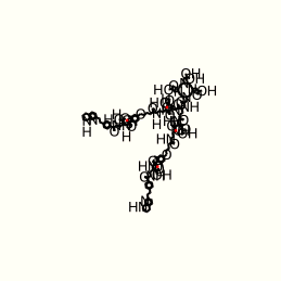 Cc1cc(OCCCC(=O)NCCNC(=O)C(CS(=O)(=O)O)NC(=O)CCC(NC(=O)CN2CCN(CC(=O)O)CCN(CC(O)O)CCN(CC(=O)O)CC2)C(=O)NC(CS(=O)(=O)O)C(=O)NCCNC(=O)CCCOc2cc(C)c(S(=O)(=O)NC(CNC(=O)c3ccc(CCc4ccc5c(n4)NCCC5)cc3)C(=O)O)c(C)c2)cc(C)c1S(=O)(=O)NC(CNC(=O)c1ccc(CCc2ccc3c(n2)NCCC3)cc1)C(=O)O